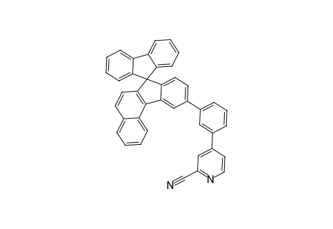 N#Cc1cc(-c2cccc(-c3ccc4c(c3)-c3c(ccc5ccccc35)C43c4ccccc4-c4ccccc43)c2)ccn1